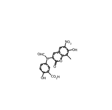 Cc1c(O)c([N+](=O)[O-])cc2cc(N(C=O)c3ccc(O)c(C(=O)O)c3)c(=O)oc12